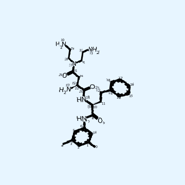 Cc1cc(C)cc(NC(=O)[C@H](CCc2ccccc2)NC(=O)[C@@H](N)CC(=O)N(CCN)CCN)c1